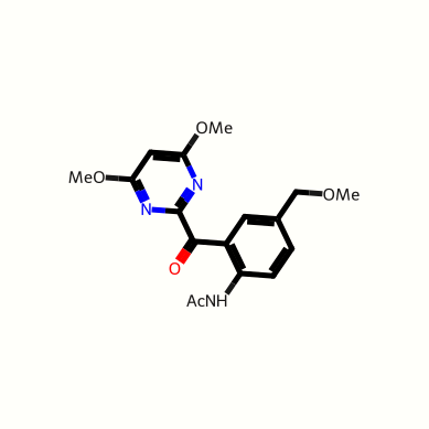 COCc1ccc(NC(C)=O)c(C(=O)c2nc(OC)cc(OC)n2)c1